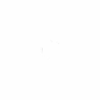 CC#N.CON